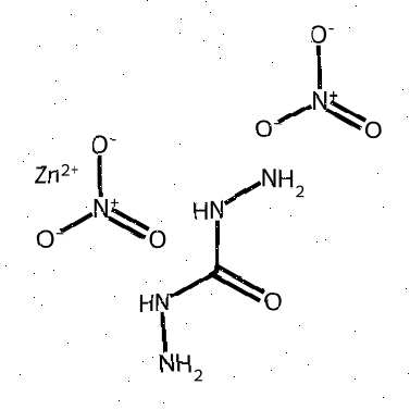 NNC(=O)NN.O=[N+]([O-])[O-].O=[N+]([O-])[O-].[Zn+2]